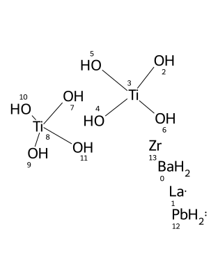 [BaH2].[La].[OH][Ti]([OH])([OH])[OH].[OH][Ti]([OH])([OH])[OH].[PbH2].[Zr]